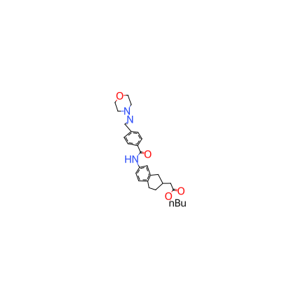 CCCCOC(=O)CC1CCc2ccc(NC(=O)c3ccc(C=NN4CCOCC4)cc3)cc2C1